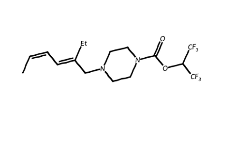 C/C=C\C=C(/CC)CN1CCN(C(=O)OC(C(F)(F)F)C(F)(F)F)CC1